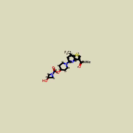 CNC(=O)c1csc2c(C(F)(F)F)cc(N3CCC(OC(=O)N4CC(O)C4)CC3)nc12